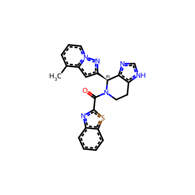 Cc1cccn2nc([C@H]3c4nc[nH]c4CCN3C(=O)c3nc4ccccc4s3)cc12